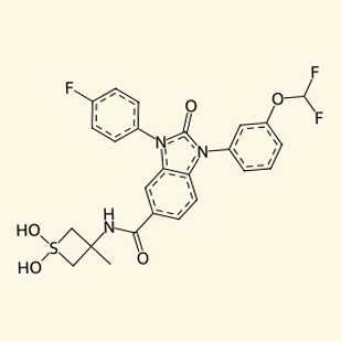 CC1(NC(=O)c2ccc3c(c2)n(-c2ccc(F)cc2)c(=O)n3-c2cccc(OC(F)F)c2)CS(O)(O)C1